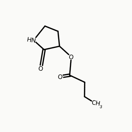 CCCC(=O)OC1CCNC1=O